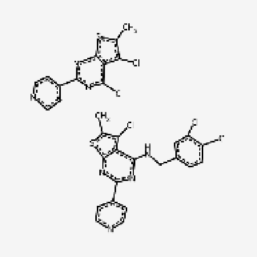 Cc1sc2nc(-c3ccncc3)nc(Cl)c2c1Cl.Cc1sc2nc(-c3ccncc3)nc(NCc3ccc(Cl)c(Cl)c3)c2c1Cl